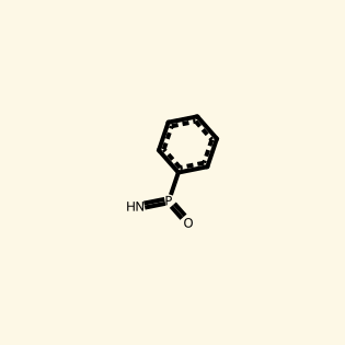 N=P(=O)c1ccccc1